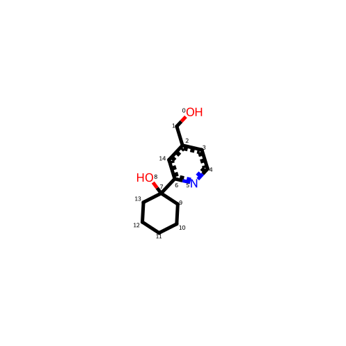 OCc1ccnc(C2(O)CCCCC2)c1